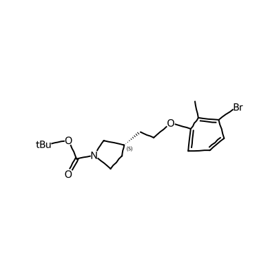 Cc1c(Br)cccc1OCC[C@@H]1CCN(C(=O)OC(C)(C)C)C1